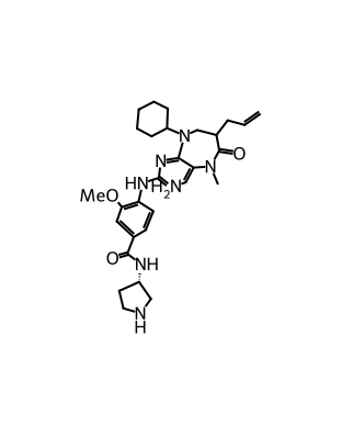 C=CCC1CN(C2CCCCC2)C(=N/C(=C)Nc2ccc(C(=O)N[C@H]3CCNC3)cc2OC)/C(=C\N)N(C)C1=O